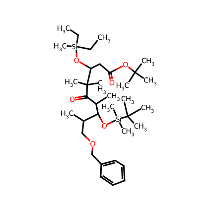 CC[Si](C)(CC)OC(CC(=O)OC(C)(C)C)C(C)(C)C(=O)C(C)C(O[Si](C)(C)C(C)(C)C)C(C)COCc1ccccc1